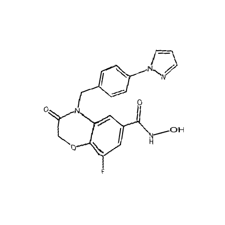 O=C(NO)c1cc(F)c2c(c1)N(Cc1ccc(-n3cccn3)cc1)C(=O)CO2